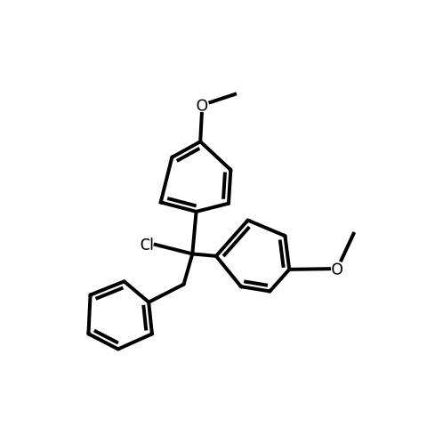 COc1ccc(C(Cl)(Cc2ccccc2)c2ccc(OC)cc2)cc1